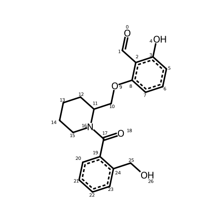 O=Cc1c(O)cccc1OCC1CCCCN1C(=O)c1ccccc1CO